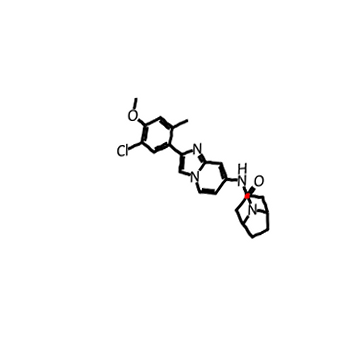 COc1cc(C)c(-c2cn3ccc(NC4CC5CCC(C4)N5C=O)cc3n2)cc1Cl